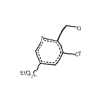 CCOC(=O)c1cnc(CCl)c(Cl)c1